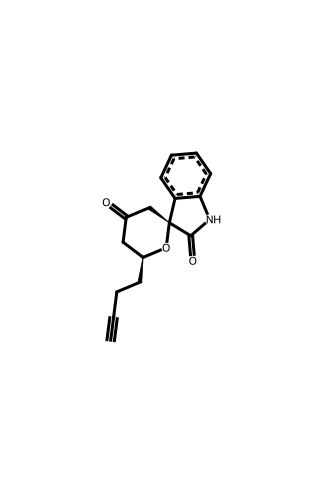 C#CCC[C@H]1CC(=O)C[C@]2(O1)C(=O)Nc1ccccc12